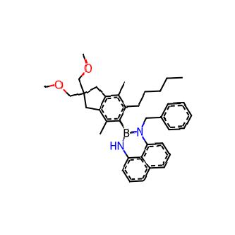 CCCCCc1c(C)c2c(c(C)c1B1Nc3cccc4cccc(c34)N1Cc1ccccc1)CC(COC)(COC)C2